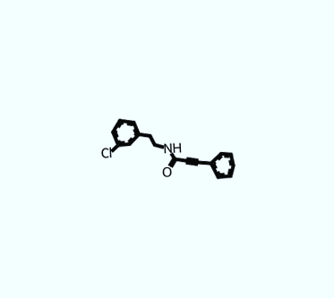 O=C(C#Cc1ccccc1)NCCc1cccc(Cl)c1